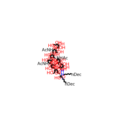 CCCCCCCCCCCCC/C=C/[C@@H](O)[C@H](CO[C@@H]1OC(CO)[C@@H](O[C@@H]2OC(CO)[C@H](O)[C@H](O[C@@H]3OC(CO)[C@@H](O[C@@H]4OC(CO[C@@H]5OC(CO)[C@@H](O[C@@H]6OC(CO)[C@H](O)[C@H](O)C6O)[C@H](O)C5NC(C)=O)[C@H](O)[C@H](O[C@@H]5OC(CO)[C@@H](O[C@@H]6OC(CO)[C@H](O)[C@H](O)C6O)[C@H](O)C5NC(C)=O)C4O)[C@H](O)C3NC(C)=O)C2O)[C@H](O)C1O)NC(=O)CCCCCCCCCCCCCCC